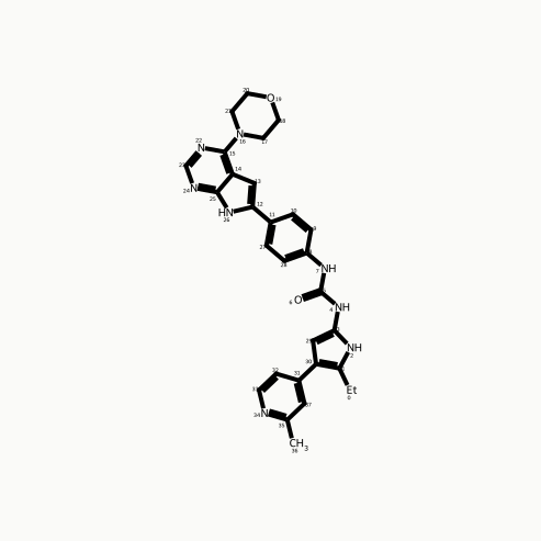 CCc1[nH]c(NC(=O)Nc2ccc(-c3cc4c(N5CCOCC5)ncnc4[nH]3)cc2)cc1-c1ccnc(C)c1